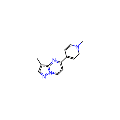 Cc1cnn2ccc(C3=CCN(C)C=C3)nc12